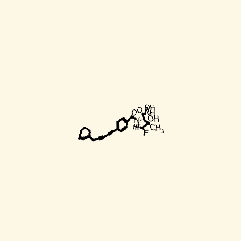 CC(O)(C(F)F)[C@H](NC(=O)c1ccc(C#CC#CCC2CCCCC2)cc1)C(=O)NO